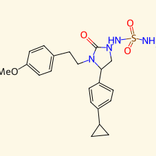 COc1ccc(CCN2C(=O)N(NS(N)(=O)=O)CC2c2ccc(C3CC3)cc2)cc1